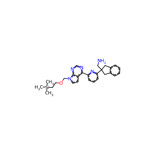 C[Si](C)(C)CCOCn1ccc2c(-c3cccc(C4(CN)Cc5ccccc5C4)n3)ncnc21